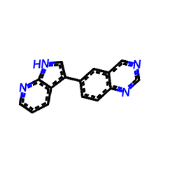 c1cnc2[nH]cc(-c3ccc4ncncc4c3)c2c1